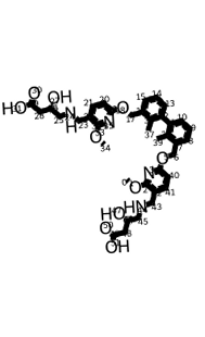 COc1nc(OCc2cccc(-c3cccc(COc4ccc(CNC[C@@H](O)CC(=O)O)c(OC)n4)c3C)c2C)ccc1CNC[C@@H](O)CC(=O)O